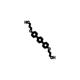 OCCCOc1ccc(-c2ccc(-c3ccc(OCCCO)cc3)cc2)cc1